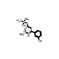 CC(C)(C)[S@+]([O-])N[C@@H](CCO[Si](C)(C)C(C)(C)C)c1cccc(C#N)c1